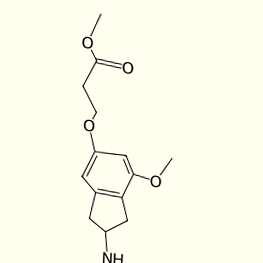 COC(=O)CCOc1cc2c(c(OC)c1)CC(N)C2